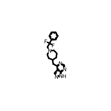 FC(F)(CN1CCCC(Cc2ncnc3[nH]ncc23)CC1)c1ccccc1